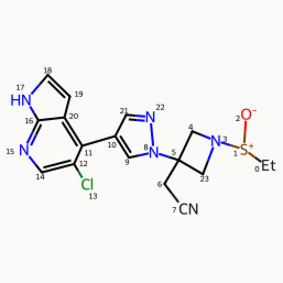 CC[S+]([O-])N1CC(CC#N)(n2cc(-c3c(Cl)cnc4[nH]ccc34)cn2)C1